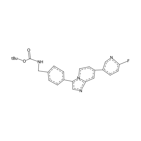 CC(C)(C)OC(=O)NCc1ccc(-c2cnc3cc(-c4ccc(F)nc4)ccn23)cc1